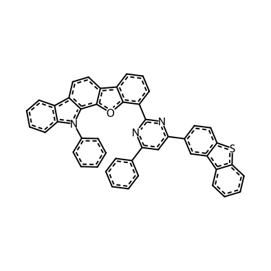 c1ccc(-c2cc(-c3ccc4sc5ccccc5c4c3)nc(-c3cccc4c3oc3c4ccc4c5ccccc5n(-c5ccccc5)c43)n2)cc1